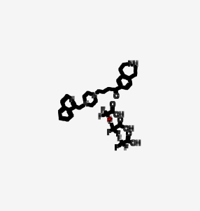 O=C(CCCN1CCN(Cc2nccc3ccccc23)CC1)c1ccc2c(c1)CCNCC2.O=C(O)C(F)(F)F.O=C(O)C(F)(F)F.O=C(O)C(F)(F)F